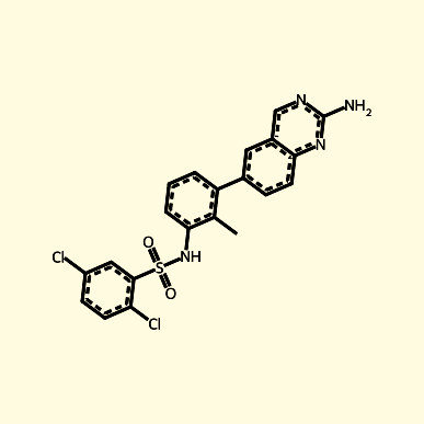 Cc1c(NS(=O)(=O)c2cc(Cl)ccc2Cl)cccc1-c1ccc2nc(N)ncc2c1